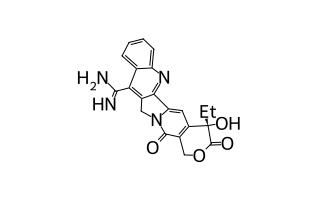 CC[C@@]1(O)C(=O)OCc2c1cc1n(c2=O)Cc2c-1nc1ccccc1c2C(=N)N